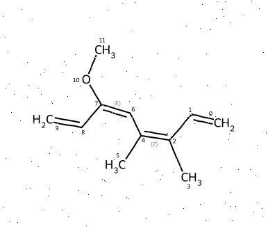 C=C/C(C)=C(C)\C=C(/C=C)OC